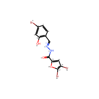 O=C(N/N=C/c1ccc(Br)cc1O)c1cc(Br)c(Br)o1